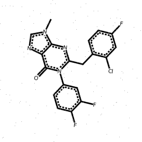 Cn1cnc2c(=O)n(-c3ccc(F)c(F)c3)c(Cc3ccc(F)cc3Cl)nc21